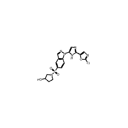 O=S(=O)(c1ccc2c(cnn2-c2cnc(-c3cnc(Cl)o3)[nH]2)c1)N1CCC(O)C1